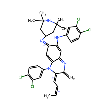 C=c1nc2cc(Nc3ccc(Cl)c(Cl)c3)/c(=N\C3CC(C)(C)NC(C)(C)C3)cc-2n(-c2ccc(Cl)c(Cl)c2)/c1=C/C=C\C